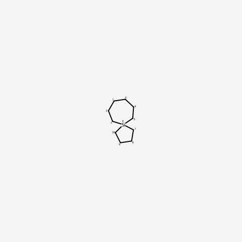 C1CCC[Si]2(CC1)CCCC2